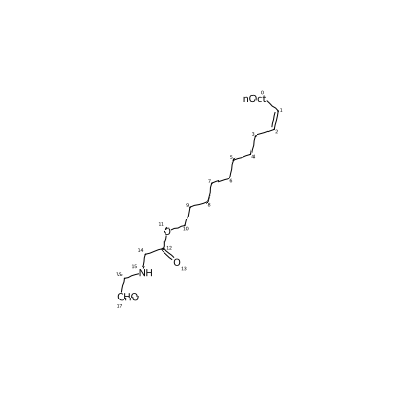 CCCCCCCC/C=C\CCCCCCCCOC(=O)CNCC=O